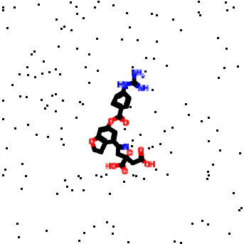 N=C(N)Nc1ccc(C(=O)Oc2cc3c(c(C4=NOC(CC(=O)O)(C(=O)O)C4)c2)CCO3)cc1